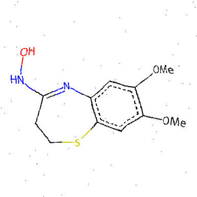 COc1cc2c(cc1OC)SCCC(NO)=N2